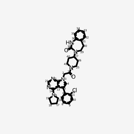 O=C(Cn1cc(-c2ccccc2Cl)c2c(N3CCCC3)ncnc21)N1CCC(N2CCc3ccccc3NC2=O)CC1